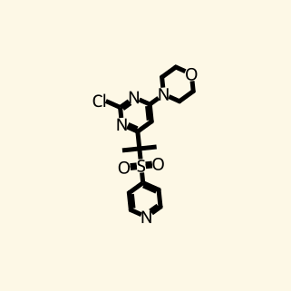 CC(C)(c1cc(N2CCOCC2)nc(Cl)n1)S(=O)(=O)c1ccncc1